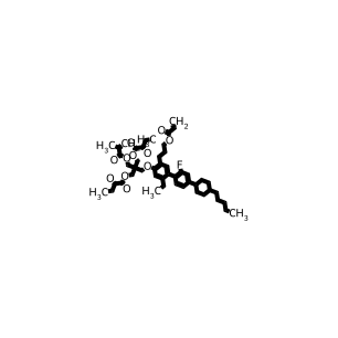 C=CC(=O)OCCCc1cc(-c2ccc(C3CCC(CCCCC)CC3)cc2F)c(CC)cc1OCC(COC(=O)C(=C)C)(COC(=O)C(=O)CC)COC(=O)C(=O)CC